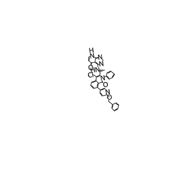 C[C@H](Nc1ncnc2[nH]ccc(=O)c12)c1c(Cl)c2cccc(-c3ccc(OCc4ccccc4)nc3)c2c(=O)n1-c1ccccc1